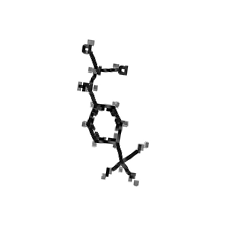 FC(F)(F)c1ccc(NN(Cl)Cl)cc1